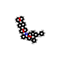 CC1(C)c2cc(N(c3ccc(-c4ccc(-c5ccccc5)c5c(-c6ccccc6)ccc(-c6ccccc6)c45)cc3)c3ccccc3-c3ccccc3)ccc2-c2c(-c3ccccc3)cc(-c3ccccc3)cc21